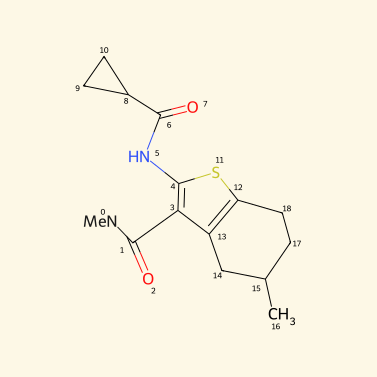 CNC(=O)c1c(NC(=O)C2CC2)sc2c1CC(C)CC2